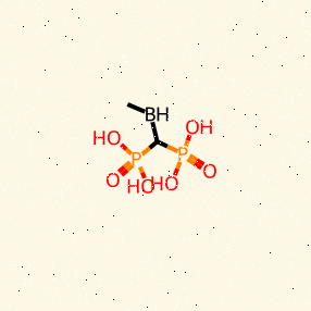 CBC(P(=O)(O)O)P(=O)(O)O